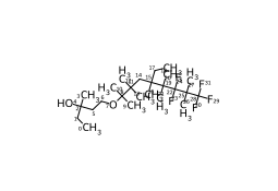 CCC(C)(O)CCOC(C)(C)C(C)(C)CC(C)(CC)C(C)(C)C(F)(F)C(C)(C)C(F)(F)F